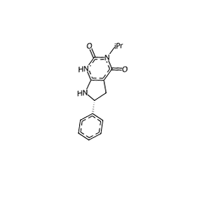 CC(C)n1c(=O)[nH]c2c(c1=O)C[C@H](c1ccccc1)N2